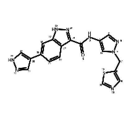 O=C(Nc1cnn(Cc2cncs2)c1)c1n[nH]c2cc(-c3cn[nH]c3)ccc12